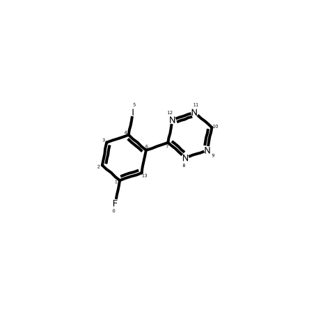 Fc1ccc(I)c(-c2nncnn2)c1